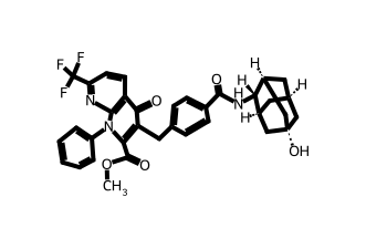 COC(=O)c1c(Cc2ccc(C(=O)N[C@H]3[C@H]4C[C@H]5C[C@H]3C[C@](O)(C4)C5)cc2)c(=O)c2ccc(C(F)(F)F)nc2n1-c1ccccc1